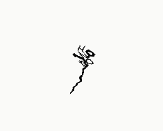 CC=C(NCc1ccccc1)C(=O)OCCCCCCCCCC